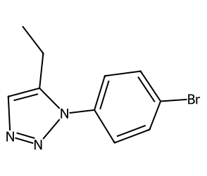 CCc1cnnn1-c1ccc(Br)cc1